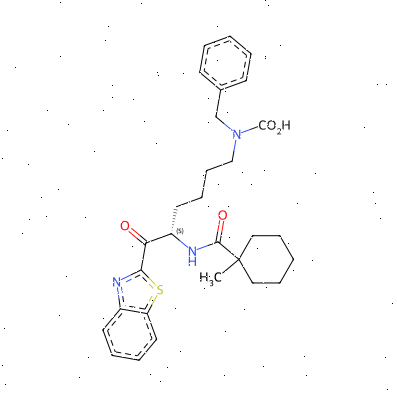 CC1(C(=O)N[C@@H](CCCCN(Cc2ccccc2)C(=O)O)C(=O)c2nc3ccccc3s2)CCCCC1